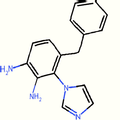 Nc1ccc(Cc2ccccc2)c(-n2ccnc2)c1N